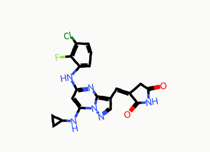 O=C1CC(=Cc2cnn3c(NC4CC4)cc(Nc4cccc(Cl)c4F)nc23)C(=O)N1